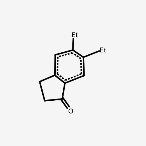 CCc1cc2c(cc1CC)C(=O)CC2